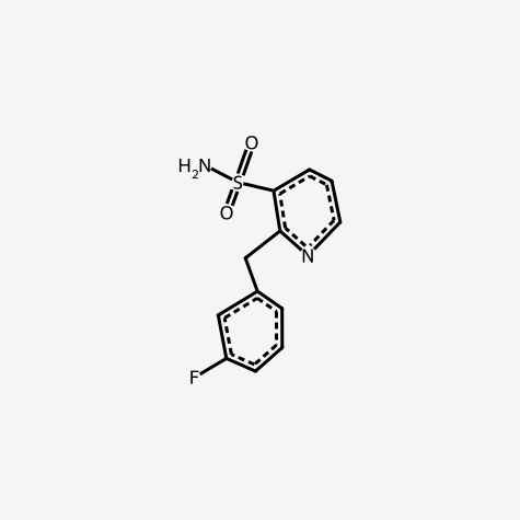 NS(=O)(=O)c1cccnc1Cc1cccc(F)c1